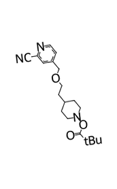 CC(C)(C)C(=O)ON1CCC(CCOCc2ccnc(C#N)c2)CC1